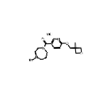 CC(C)N1CCCN(C(=O)c2ccc(OCC3(C)COC3)nc2)CC1.Cl